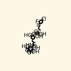 CC(=Cc1ccc(O[C@@H]2O[C@H](C(C)=CCOc3ccc(Cl)cc3F)[C@@H](O)[C@@H]2O)c(O)c1)C(=O)N[C@@H]1[C@H](O)[C@@H](O)[C@H]2OCO[C@H]2[C@@H]1O